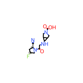 N#C[C@@H]1C[C@H](F)CN1C(=O)CNC1C2CN(C(=O)O)CC21